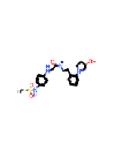 CCCS(=O)(=O)Nc1ccc(NCC(=O)N(C)CCc2ccccc2N2CC[C@H](O)C2)cc1